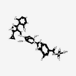 CCCS(=O)(=O)NC(=O)c1cc(F)c2nc(N3C[C@@H]4C[C@H]3C[C@H]4OCc3c(-c4c(Cl)cccc4Cl)noc3C3CC3)sc2c1